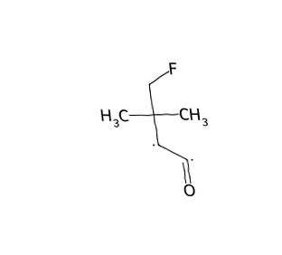 CC(C)([CH][C]=O)CF